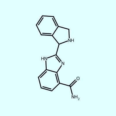 NC(=O)c1cccc2[nH]c(C3NCc4ccccc43)nc12